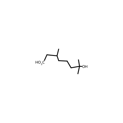 CC(CCCC(C)(C)O)CC(=O)O